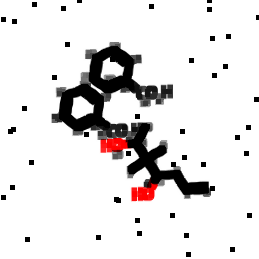 C=CCC(O)C(C)(C)C(C)O.O=C(O)c1ccccc1.O=C(O)c1ccccc1